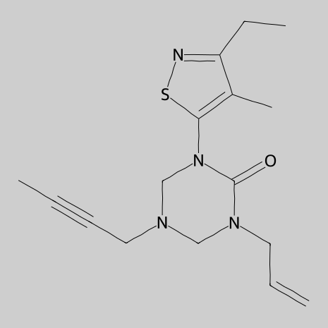 C=CCN1CN(CC#CC)CN(c2snc(CC)c2C)C1=O